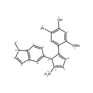 COc1cc(O)c(C(C)C)cc1-c1nnc(N)n1-c1ccc2c(ccn2C)c1